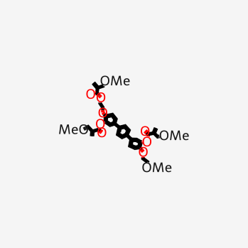 C=C(COC)C(=O)OCCOc1ccc(-c2ccc(-c3ccc(OCCOC)c(OC(=O)C(=C)COC)c3)cc2)cc1OC(=O)C(=C)COC